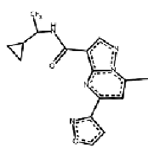 Cc1cc(-c2ccon2)nc2c(C(=O)NC(C3CC3)C(F)(F)F)cnn12